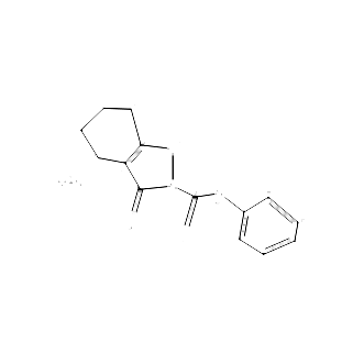 CN[C@@H]1CCCc2on(C(=O)Nc3ccccc3)c(=O)c21